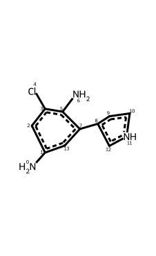 Nc1cc(Cl)c(N)c(-c2cc[nH]c2)c1